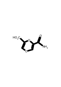 NC(=O)C1=COC=C(C(=O)O)O1